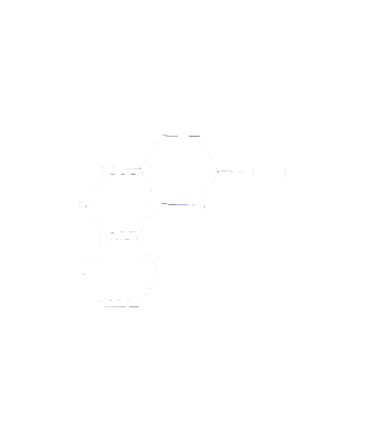 O=C(O)C1=Nc2c(cnc3ncccc23)CC1